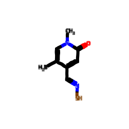 Bc1cn(C)c(=O)cc1/C=N/S